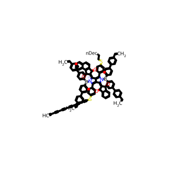 C#CC#CC#CC#CC#CC#CSc1ccc(-c2c3c(=C4C(=O)c5ccccc5C4=O)n(B(c4ccc(-c5ccc(C=C)cc5)cc4)c4ccc(-c5ccc(C=C)cc5)cc4)c(-c4ccc(SCCCCCCCCCCCC)cc4)c3/c(=C3\C(=O)c4ccc5ccccc5c4C3=O)n2B(c2ccc(-c3ccc(C=C)cc3)cc2)c2ccc(-c3ccc(C=C)cc3)cc2)cc1